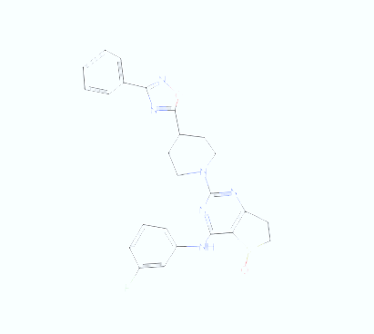 [O-][S+]1CCc2nc(N3CCC(c4nc(-c5ccccc5)no4)CC3)nc(Nc3cccc(F)c3)c21